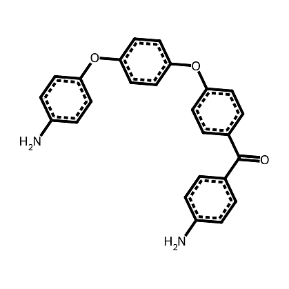 Nc1ccc(Oc2ccc(Oc3ccc(C(=O)c4ccc(N)cc4)cc3)cc2)cc1